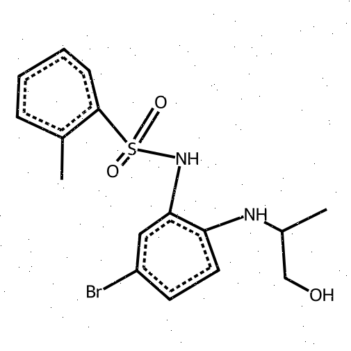 Cc1ccccc1S(=O)(=O)Nc1cc(Br)ccc1NC(C)CO